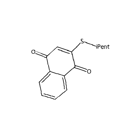 CCCC(C)SC1=CC(=O)c2ccccc2C1=O